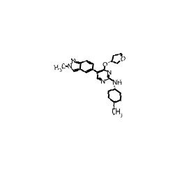 Cn1cc2cc(-c3cnc(N[C@H]4CC[C@H](C)CC4)nc3O[C@@H]3CCOC3)ccc2n1